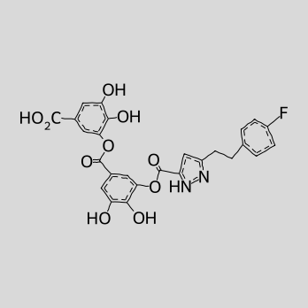 O=C(O)c1cc(O)c(O)c(OC(=O)c2cc(O)c(O)c(OC(=O)c3cc(CCc4ccc(F)cc4)n[nH]3)c2)c1